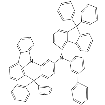 c1ccc(-c2cccc(N(c3ccc4c(c3)-n3c5ccccc5c5cccc(c53)C43c4ccccc4-c4ccccc43)c3cccc4c3-c3ccccc3C4(c3ccccc3)c3ccccc3)c2)cc1